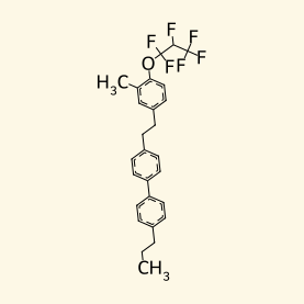 CCCc1ccc(-c2ccc(CCc3ccc(OC(F)(F)C(F)C(F)(F)F)c(C)c3)cc2)cc1